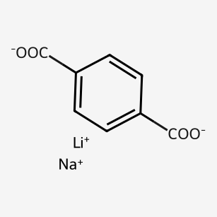 O=C([O-])c1ccc(C(=O)[O-])cc1.[Li+].[Na+]